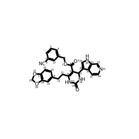 N#Cc1cccc(COC(=O)C2=C(CCc3ccc4c(c3)OCO4)NC(=O)NC2c2c[nH]c3cnccc23)c1